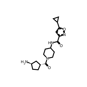 N[C@@H]1CC[C@@H](C(=O)N2CCC(NC(=O)c3cc(C4CC4)on3)CC2)C1